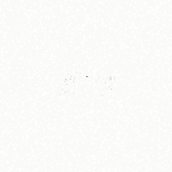 CC(C)[C@H](NC1OCO1)C(=O)N1CCC[C@H]1c1nc2cc(C#Cc3ccc(-c4c[nH]c([C@@H]5CCCN5C(=O)OC(C)(C)C)n4)cc3)ccc2[nH]1